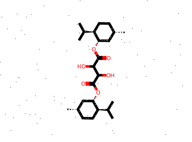 CC(C)[C@H]1CC[C@H](C)C[C@@H]1OC(=O)C(O)C(O)C(=O)O[C@H]1C[C@@H](C)CC[C@@H]1C(C)C